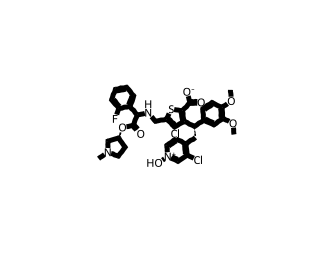 COc1ccc([C@H](Cc2c(Cl)c[n+](O)cc2Cl)c2cc(CNC(C(=O)O[C@@H]3CCN(C)C3)c3ccccc3F)sc2C(=O)[O-])cc1OC